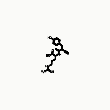 N#CC(=Cc1ccc(O)cc1)C(=O)N[C@@H](CCCNC(=N)N)C(=O)O